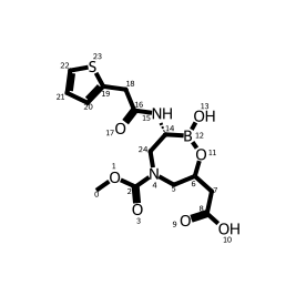 COC(=O)N1CC(CC(=O)O)OB(O)[C@@H](NC(=O)Cc2cccs2)C1